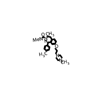 CNC(=O)N1N=C(c2ccc(C)cc2)c2cc(OCCCN3CCN(C)CC3)ccc2C[C@H]1C